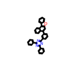 c1ccc(-c2nc(-c3ccccc3)nc(-c3cccc(-c4cc5oc6ccccc6c5c5ccccc45)c3)n2)cc1